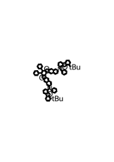 CC(C)(C)c1cccc2c1oc1c(N(c3ccccc3)c3ccc4cc5c(cc4c3)oc3c(-c4ccccc4)c(-c4ccccc4)c4oc6cc7cc(N(c8ccccc8)c8cccc9c8oc8c(C(C)(C)C)cccc89)ccc7cc6c4c35)cccc12